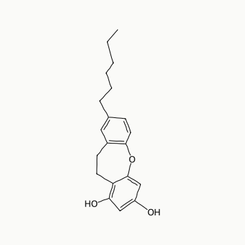 CCCCCCc1ccc2c(c1)CCc1c(O)cc(O)cc1O2